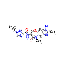 CCn1cnc(C(=O)N[C@H]2COc3cc4[nH]c(C)nc4cc3N(C)C2=O)n1